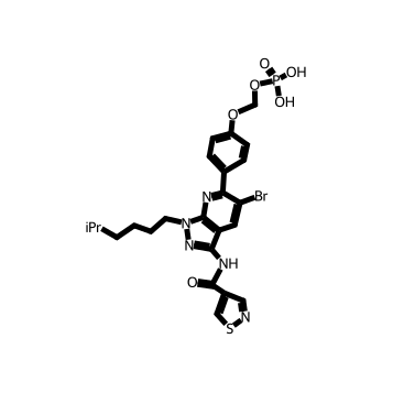 CC(C)CCCCn1nc(NC(=O)c2cnsc2)c2cc(Br)c(-c3ccc(OCOP(=O)(O)O)cc3)nc21